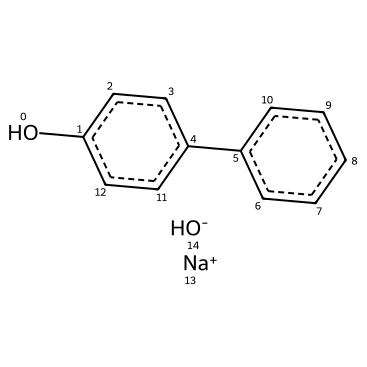 Oc1ccc(-c2ccccc2)cc1.[Na+].[OH-]